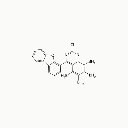 Bc1c(B)c(B)c2c(-c3cccc4c3oc3ccccc34)nc(Cl)nc2c1B